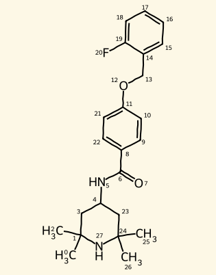 CC1(C)CC(NC(=O)c2ccc(OCc3ccccc3F)cc2)CC(C)(C)N1